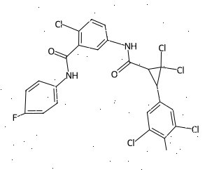 Cc1c(Cl)cc(C2C(C(=O)Nc3ccc(Cl)c(C(=O)Nc4ccc(F)cc4)c3)C2(Cl)Cl)cc1Cl